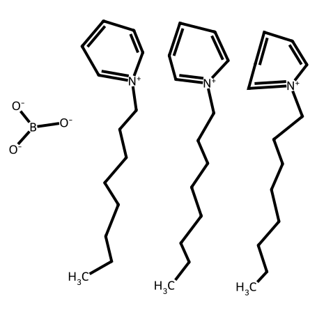 CCCCCCCC[n+]1ccccc1.CCCCCCCC[n+]1ccccc1.CCCCCCCC[n+]1ccccc1.[O-]B([O-])[O-]